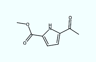 COC(=O)c1ccc(C(C)=O)[nH]1